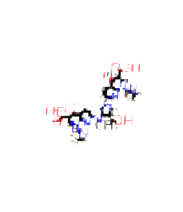 CN(c1ccc2c(=O)c(C(=O)O)cn(-c3nccs3)c2n1)[C@H]1CN(c2ccc3c(=O)c(C(=O)O)cn(-c4nccs4)c3n2)C[C@@H]1CO